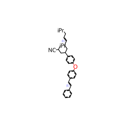 CC(C)C/C=C/CCC(CC(C#N)C(C)C)c1ccc(Oc2ccc(/C=C/c3ccccc3)cc2)cc1